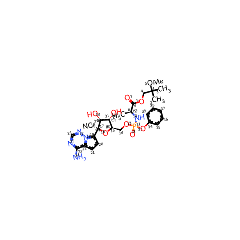 COC(C)(C)COC(=O)[C@H](C)NP(=O)(OC[C@H]1O[C@@](C#N)(c2ccc3c(N)ncnn23)[C@H](O)[C@@H]1O)Oc1ccccc1